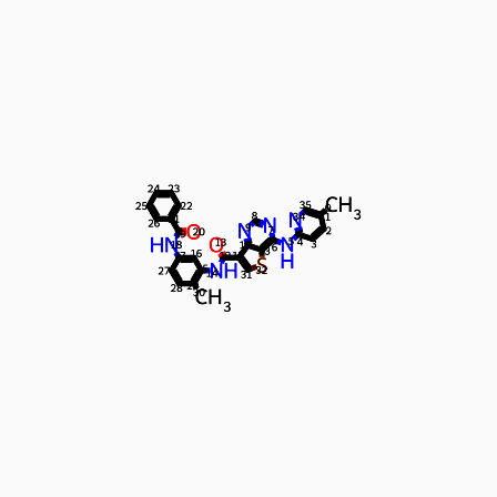 Cc1ccc(Nc2ncnc3c(C(=O)Nc4cc(NC(=O)c5ccccc5)ccc4C)csc23)nc1